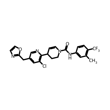 Cc1cc(NC(=O)N2C=CC(c3ncc(Cc4ncco4)cc3Cl)CC2)ccc1C(F)(F)F